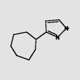 C1=CC(C2CCCCCC2)=N[N]1